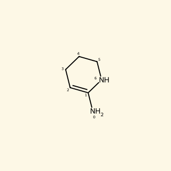 NC1=CCCCN1